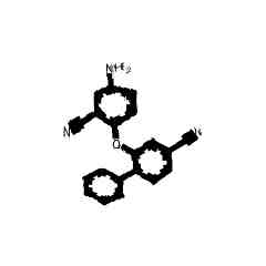 N#Cc1ccc(-c2ccccc2)c(Oc2ccc(N)cc2C#N)c1